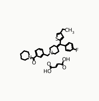 CCc1csc(C(=C2CCN(Cc3cccc(C(=O)N4CCCCC4)c3)CC2)c2ccc(F)cc2)c1.O=C(O)C=CC(=O)O